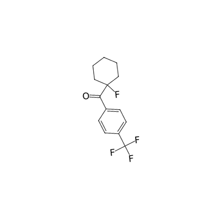 O=C(c1ccc(C(F)(F)F)cc1)C1(F)CCCCC1